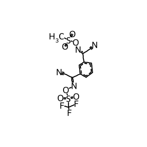 CS(=O)(=O)ON=C(C#N)c1cccc(C(C#N)=NOS(=O)(=O)C(F)(F)F)c1